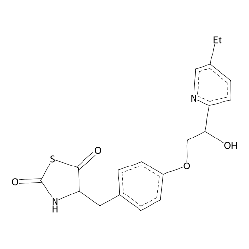 CCc1ccc(C(O)COc2ccc(CC3NC(=O)SC3=O)cc2)nc1